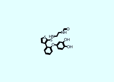 O=CNCCNSc1sccc1-c1ccccc1Oc1ccc(O)c(O)c1